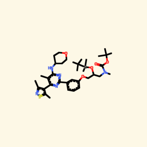 Cc1nsc(C)c1-c1nc(-c2cccc(OCC(CN(C)C(=O)OC(C)(C)C)O[Si](C)(C)C(C)(C)C)c2)nc(NC2CCOCC2)c1C